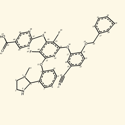 CN1CCNC1c1ccccc1Oc1nc(Oc2cc(C#N)ccc2OCc2ccccc2)c(F)c(Sc2ncc(C(=O)O)cn2)c1F